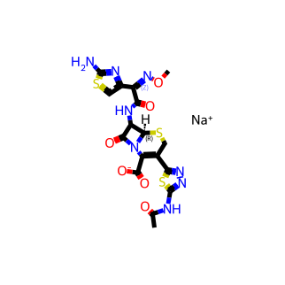 CO/N=C(\C(=O)NC1C(=O)N2C(C(=O)[O-])=C(c3nnc(NC(C)=O)s3)CS[C@H]12)c1csc(N)n1.[Na+]